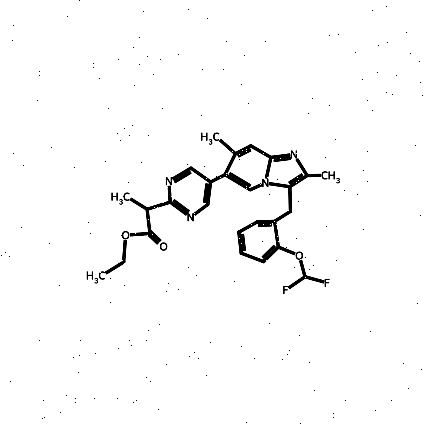 CCOC(=O)C(C)c1ncc(-c2cn3c(Cc4ccccc4OC(F)F)c(C)nc3cc2C)cn1